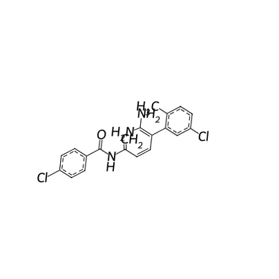 C=C(/C=C\C(=C(N)N)c1cc(Cl)ccc1C)NC(=O)c1ccc(Cl)cc1